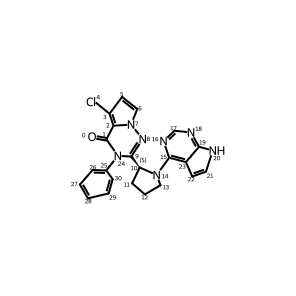 O=c1c2c(Cl)ccn2nc([C@@H]2CCCN2c2ncnc3[nH]ccc23)n1-c1ccccc1